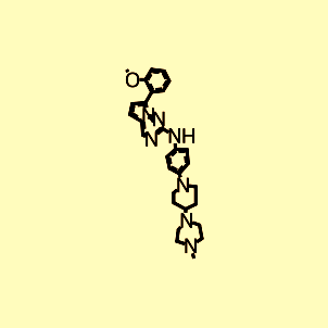 COc1ccccc1-c1ccc2cnc(Nc3ccc(N4CCC(N5CCN(C)CC5)CC4)cc3)nn12